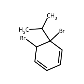 CC(C)C1(Br)C=CC=CC1Br